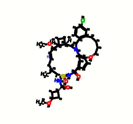 CO[C@H]1/C=C/C[C@H](C)CS(=O)(NC(=O)[C@H]2C[C@H](OC)C2)=NC(=O)c2ccc3c(c2)N(Cc2ccc(Cl)cc2CCCCO3)C[C@@H]2CC[C@H]21